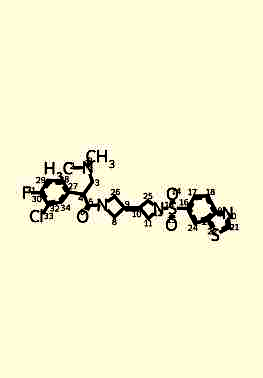 CN(C)CC(C(=O)N1CC(=C2CN(S(=O)(=O)c3ccc4ncsc4c3)C2)C1)c1ccc(F)c(Cl)c1